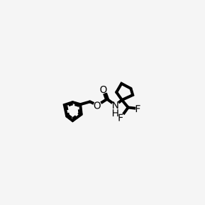 O=C(NC1(C(F)F)CCCC1)OCc1ccccc1